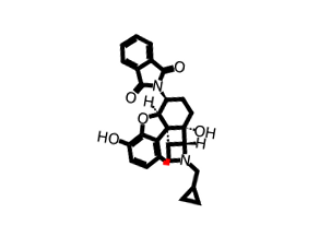 Cc1ccc(O)c2c1[C@]13C4CN(CC5CC5)[C@H]4[C@]1(O)CC[C@H](N1C(=O)c4ccccc4C1=O)[C@@H]3O2